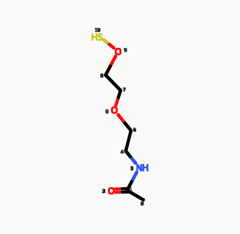 CC(=O)NCCOCCOS